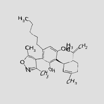 C=C(C)[C@@H]1CCC(C)=C[C@H]1c1c(O)cc(CCCCC)c(-c2c(C)noc2C)c1O